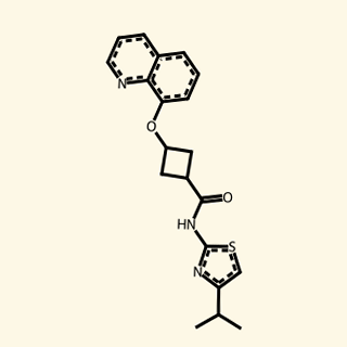 CC(C)c1csc(NC(=O)C2CC(Oc3cccc4cccnc34)C2)n1